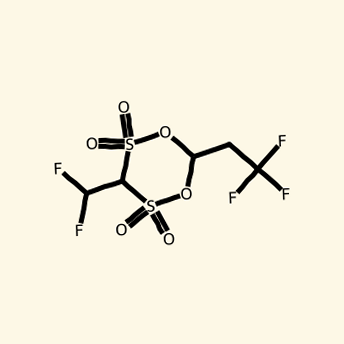 O=S1(=O)OC(CC(F)(F)F)OS(=O)(=O)C1C(F)F